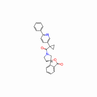 O=C1O[C@]2(CCN(C(=O)C3(c4ccc(-c5ccccc5)nc4)CC3)C2)c2ccccc21